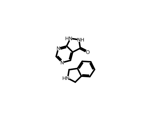 O=c1[nH][nH]c2ncncc12.c1ccc2c(c1)CNC2